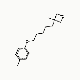 Cc1ccc(OCCCCCC2(C)COC2)cc1